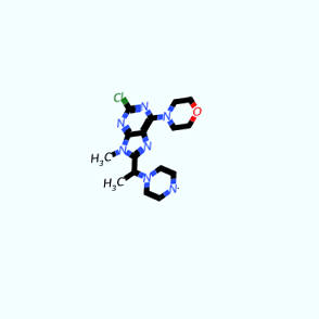 CC(c1nc2c(N3CCOCC3)nc(Cl)nc2n1C)N1CC[N]CC1